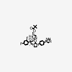 C[C@@H](N1CCN(c2ccc(-n3cnnn3)cc2)C1=O)[C@@](O)(CN1CN(COC(=O)C(C)(C)C)C=N1)c1ccc(F)cc1F